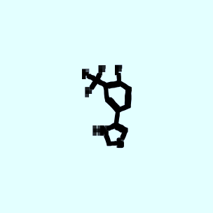 Fc1ccc(C2=CSCN2)cc1C(F)(F)F